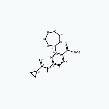 COC(=O)c1ncc(NC(=O)C2CC2)nc1N1CCCCCC1